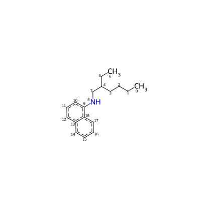 CCCCC(CC)CNc1cccc2ccccc12